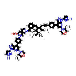 CCC(C)C(C)C(Cc1cccc(CN2CCC3(CC(O)N(c4ccc(-c5cc(N6CCOC[C@H]6C)nc6c5cnn6-c5cc[nH]n5)cc4)C3)C2)c1)C(CC)CC#CC1CC=C(c2cc(N3CCOC[C@H]3C)nc3c2cnn3-c2cc[nH]n2)CC1